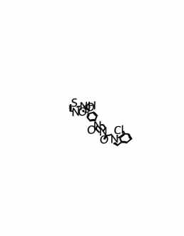 O=C(Cn1ccc2cccc(Cl)c21)N1CCN(c2ccc(S(=O)(=O)Nc3nccs3)cc2)C(=O)C1